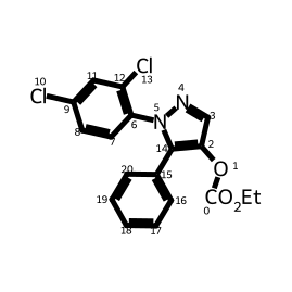 CCOC(=O)Oc1cnn(-c2ccc(Cl)cc2Cl)c1-c1ccccc1